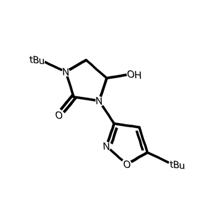 CC(C)(C)c1cc(N2C(=O)N(C(C)(C)C)CC2O)no1